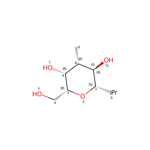 CC(C)[C@@H]1O[C@H](CO)[C@H](O)[C@H](C)[C@H]1O